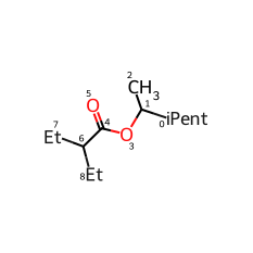 CCCC(C)C(C)OC(=O)C(CC)CC